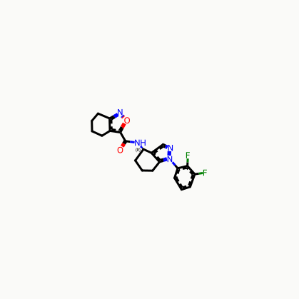 O=C(N[C@@H]1CCCc2c1cnn2-c1cccc(F)c1F)c1onc2c1CCCC2